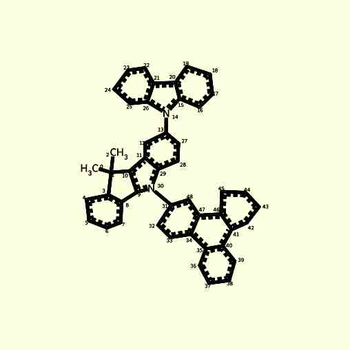 CC1(C)c2ccccc2-c2c1c1cc(-n3c4ccccc4c4ccccc43)ccc1n2-c1ccc2c3ccccc3c3ccccc3c2c1